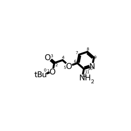 CC(C)(C)OC(=O)COc1cccnc1N